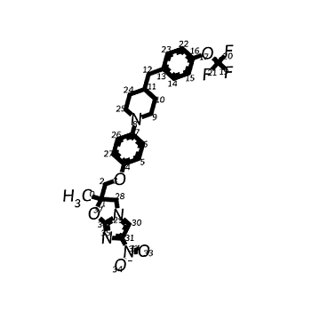 CC1(COc2ccc(N3CCC(Cc4ccc(OC(F)(F)F)cc4)CC3)cc2)Cn2cc([N+](=O)[O-])nc2O1